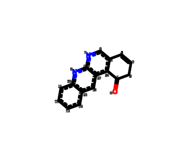 O=C1CC=Cc2cnc3nc4ccccc4cc3c21